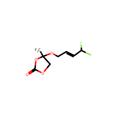 O=C1OCC(OCC=CC(F)F)(C(F)(F)F)O1